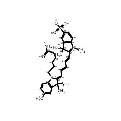 Cc1ccc2c(c1)C(C)(C)/C(=C/C=C/C=C/C1=[N+](C)c3ccc(S(=O)(=O)O)cc3C1(C)C)N2CCCCCC(N)=O